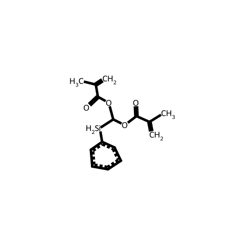 C=C(C)C(=O)OC(OC(=O)C(=C)C)[SiH2]c1ccccc1